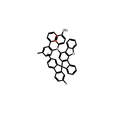 Cc1ccc(N(c2ccc(C(C)(C)C)cc2)c2cc3c(c4oc5ccccc5c24)-c2ccccc2C32c3cc(F)ccc3-c3ccc(F)cc32)c(-c2ccccc2)c1